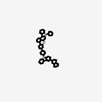 c1ccc(-n2c3ccccc3c3c4cccc5c4c(cc32)Oc2cc(-c3ccc(-n4c6ccccc6c6cc(-c7ccc8ccccc8c7)ccc64)cc3)ccc2-5)cc1